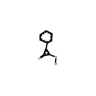 CCOc1c(-c2ccccc2)c1=O